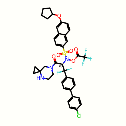 O=C([C@@H](N(OC(=O)C(F)(F)F)S(=O)(=O)c1ccc2cc(OC3CCCC3)ccc2c1)C(F)(F)c1ccc(-c2ccc(Cl)cc2)cc1)N1CCNC2(CC2)C1